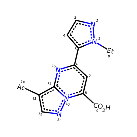 CCn1nccc1-c1cc(C(=O)O)n2ncc(C(C)=O)c2n1